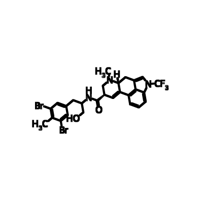 Cc1c(Br)cc(CC(CO)NC(=O)[C@@H]2C=C3c4cccc5c4c(cn5C(F)(F)F)C[C@H]3N(C)C2)cc1Br